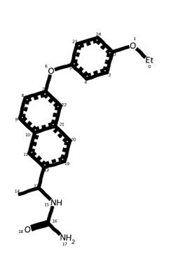 CCOc1ccc(Oc2ccc3cc(C(C)NC(N)=O)ccc3c2)cc1